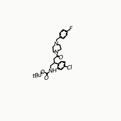 CC(C)(C)OC(=O)NCC(CC(=O)N1CCN(Cc2ccc(F)cc2)CC1)c1ccc(Cl)cc1